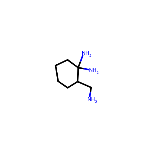 NCC1CCCCC1(N)N